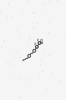 CCCCCC1CCC(CCC2CCC(c3ccc(-c4cc(F)c(Cl)c(F)c4)c(F)c3)CC2)CC1